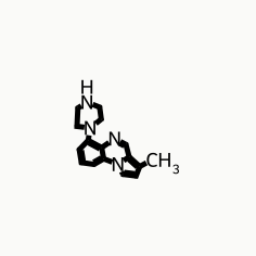 Cc1ccn2c1cnc1c(N3CCNCC3)cccc12